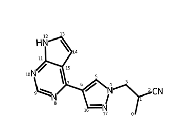 CC(C#N)Cn1cc(-c2ncnc3[nH]ccc23)cn1